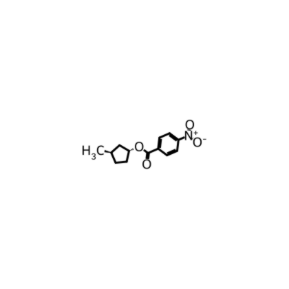 C[C@@H]1CC[C@@H](OC(=O)c2ccc([N+](=O)[O-])cc2)C1